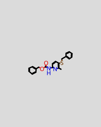 Cc1nc(NC(=O)OCc2ccccc2)ccc1SCc1ccccc1